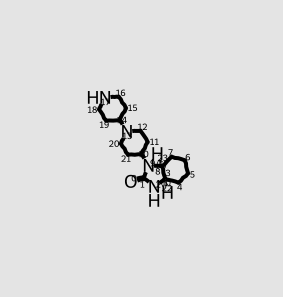 O=C1N[C@@H]2CCCC[C@@H]2N1C1CCN(C2CCNCC2)CC1